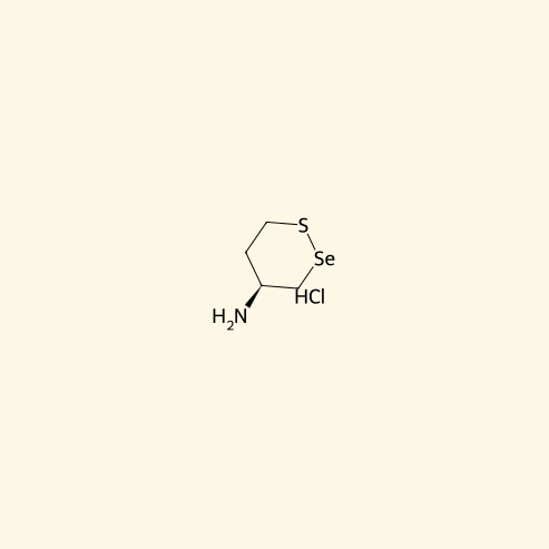 Cl.N[C@H]1CCS[Se]C1